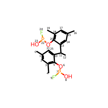 Cc1cc(C)c(OP(O)F)c(C(C)c2cc(C)cc(C)c2OP(O)F)c1